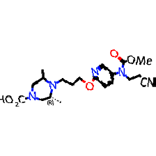 COC(=O)N(CCC#N)c1ccc(OCCCN2C(C)CN(C(=O)O)C[C@H]2C)nc1